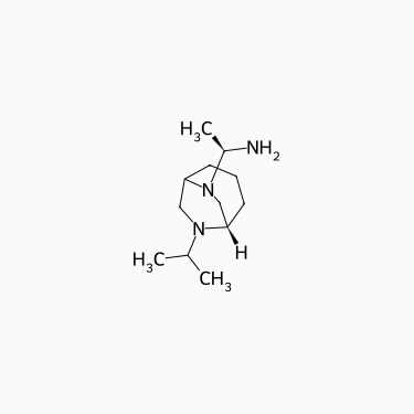 CC(C)N1CC2CCC[C@H]1CN2[C@@H](C)N